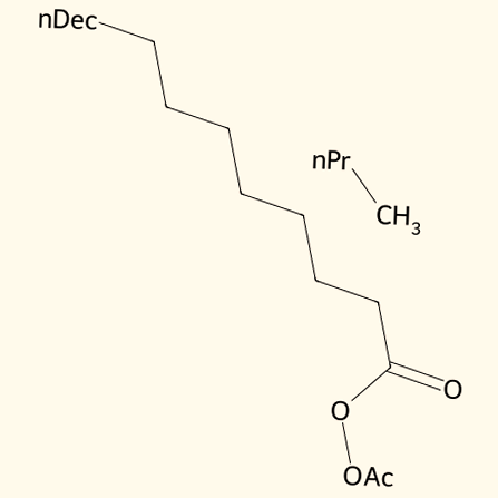 CCCC.CCCCCCCCCCCCCCCCCC(=O)OOC(C)=O